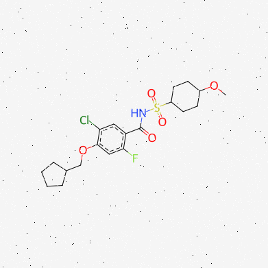 COC1CCC(S(=O)(=O)NC(=O)c2cc(Cl)c(OCC3CCCC3)cc2F)CC1